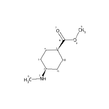 CN[C@H]1CC[C@@H](C(=O)OC)CC1